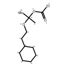 CCC(=O)OC(C)(OCCC1CCCCC1)C(C)(C)C